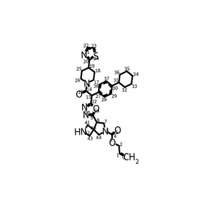 C=CCOC(=O)N1CC(c2nnc(C(C(=O)N3CCC(c4nccs4)CC3)c3ccc(C4CCCCC4)cc3)o2)C2(CNC2)C1